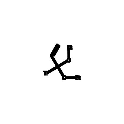 C=C[C]([Ti])(OCC)OCC